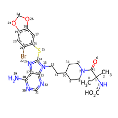 CC(C)(NC(=O)O)C(=O)N1CCC(CCn2c(Sc3cc4c(cc3Br)OCO4)nc3c(N)ncnc32)CC1